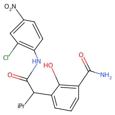 CC(C)C(C(=O)Nc1ccc([N+](=O)[O-])cc1Cl)c1cccc(C(N)=O)c1O